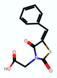 O=C(O)CN1C(=O)SC(=Cc2ccccc2)C1=O